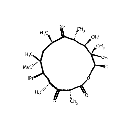 CC[C@H]1OC(=O)[C@H](C)C(=O)[C@H](C)C(C(C)C)[C@](C)(OC)C[C@@H](C)C(=N)[C@H](C)[C@@H](O)[C@]1(C)O